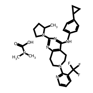 CC1CCCN1c1nc2c(c(Nc3ccc(C4CC4)cc3)n1)CCN(c1ncccc1C(F)(F)F)CC2.CN(C)C(=O)O